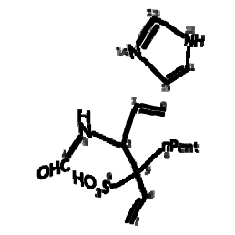 C=CC(NC=O)C(C=C)(CCCCC)S(=O)(=O)O.c1c[nH]cn1